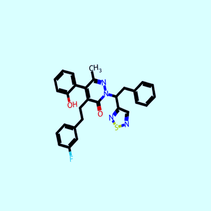 Cc1nn(C(Cc2ccccc2)c2cnsn2)c(=O)c(CCc2cccc(F)c2)c1-c1ccccc1O